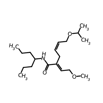 CCCC(CCC)NC(=O)/C(=C/COC)C/C=C\COC(C)C